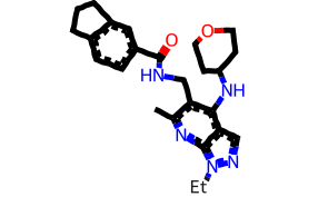 CCn1ncc2c(NC3CCOCC3)c(CNC(=O)c3ccc4c(c3)CCC4)c(C)nc21